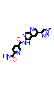 CNC(=O)c1ccc(C(=O)Nc2cc3cc(-c4cn(C)nn4)cnc3cn2)cn1